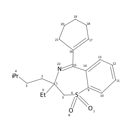 CCC1(CCC(C)C)CS(=O)(=O)c2ccccc2C(C2=CCCCC2)=N1